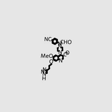 COC1=CC2=C(N3CCN(N(C=O)c4ccc(C#N)cc4)CC3)C(=C=O)C=NC2C=C1OCCCc1c[nH]nn1